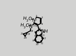 CN1CC=CC(c2cc3ccccc3[nH]2)=C1N(C)CC1CC1